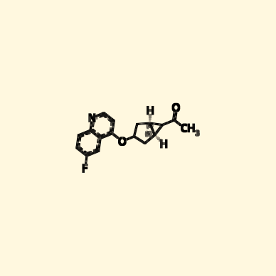 CC(=O)C1[C@H]2CC(Oc3ccnc4ccc(F)cc34)C[C@@H]12